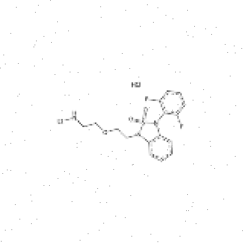 CCNCCOCCN1c2ccccc2N(c2c(F)cccc2F)S1(=O)=O.Cl